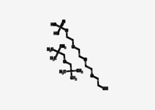 CC(C)(C)COCC(C)(C)C.O=P(O)(O)OCCOCCOCCOCCO